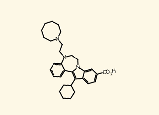 O=C(O)c1ccc2c(C3CCCCC3)c3n(c2c1)CCN(CCN1CCCCCCC1)c1ccccc1-3